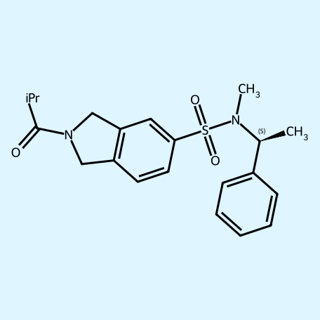 CC(C)C(=O)N1Cc2ccc(S(=O)(=O)N(C)[C@@H](C)c3ccccc3)cc2C1